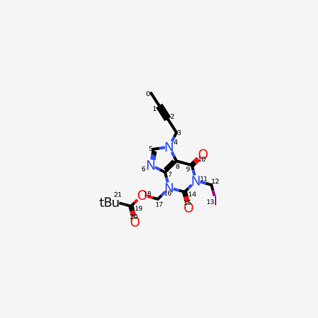 CC#CCn1cnc2c1c(=O)n(CI)c(=O)n2COC(=O)C(C)(C)C